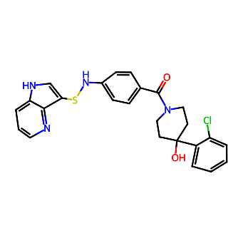 O=C(c1ccc(NSc2c[nH]c3cccnc23)cc1)N1CCC(O)(c2ccccc2Cl)CC1